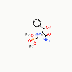 CCOP(=O)(CN[C@H](C(N)=O)C(O)c1ccccc1)OCC